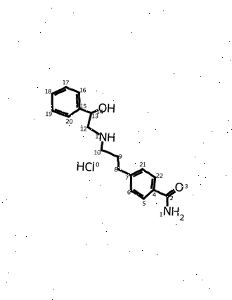 Cl.NC(=O)c1ccc(CCCNCC(O)c2ccccc2)cc1